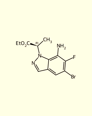 CCOC(=O)[C@@H](C)n1ncc2cc(Br)c(F)c(N)c21